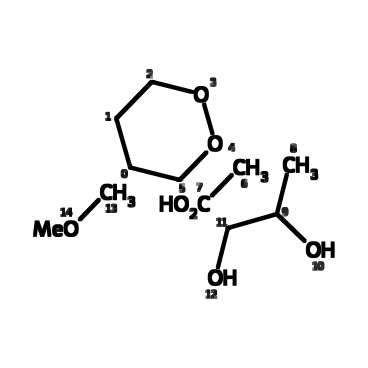 C1CCOOC1.CC(=O)O.CC(O)CO.COC